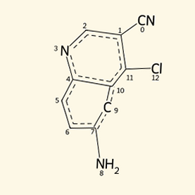 N#Cc1cnc2ccc(N)cc2c1Cl